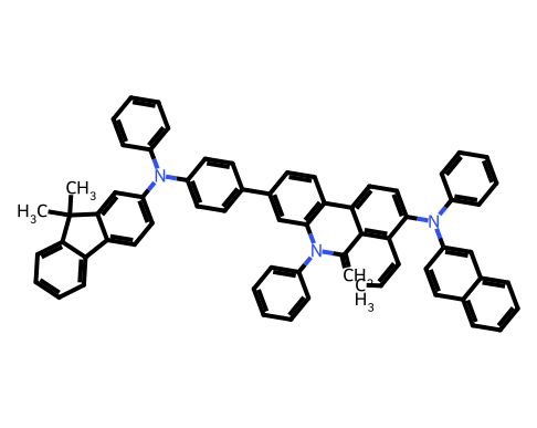 C=C1c2c(ccc(N(c3ccccc3)c3ccc4ccccc4c3)c2/C=C\C)-c2ccc(-c3ccc(N(c4ccccc4)c4ccc5c(c4)C(C)(C)c4ccccc4-5)cc3)cc2N1c1ccccc1